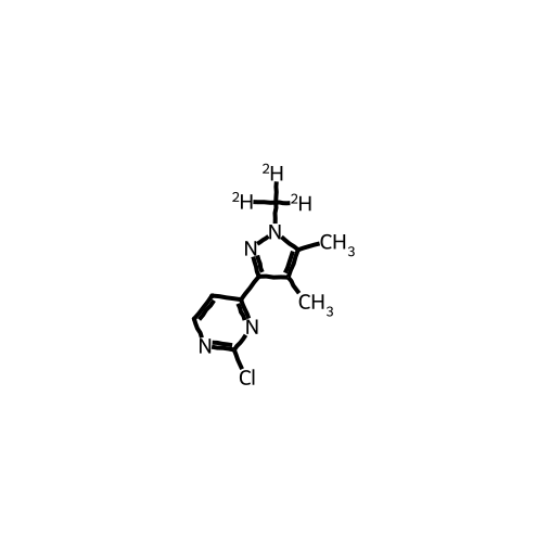 [2H]C([2H])([2H])n1nc(-c2ccnc(Cl)n2)c(C)c1C